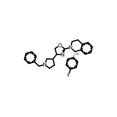 Fc1ccc([C@H]2c3ccccc3CCN2C2=NC(C3CCN(Cc4ccccc4)C3)CO2)cc1